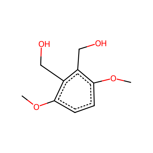 COc1ccc(OC)c(CO)c1CO